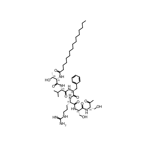 CCCCCCCCCCCCCCCC(=O)N[C@H](C(=O)N[C@H](C(=O)N[C@@H](Cc1ccccc1)C(=O)N[C@@H](CCCNC(=N)N)C(=O)N[C@@H](CO)C(=O)N[C@@H](CO)C(C)=O)C(C)C)[C@@H](C)O